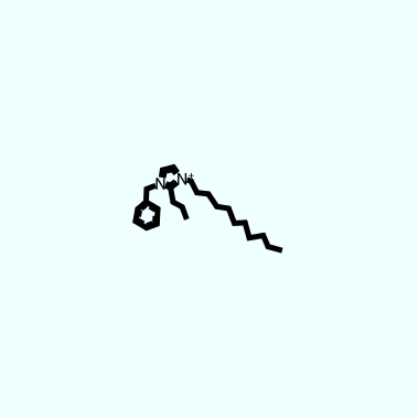 CCCCCCCCCCC[n+]1ccn(Cc2ccccc2)c1CCC